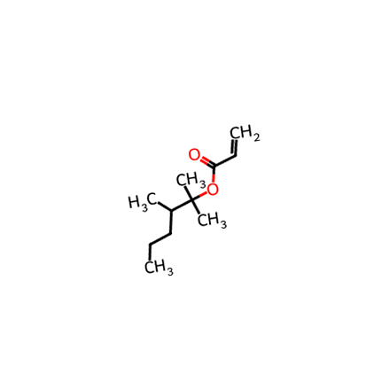 C=CC(=O)OC(C)(C)C(C)CCC